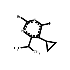 CC(C)c1nc(Br)nc(F)c1C1CC1